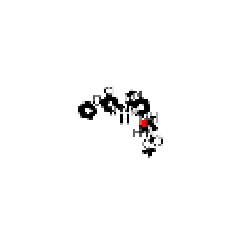 CC(C)(C)OC(=O)N1C[C@@H]2C[C@H]1CN2c1ccc2ncnc(Nc3cc(Cl)c(Oc4ccccc4)cn3)c2n1